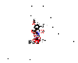 CCOc1cc(C(C)C)c2c(c1)S(=O)(=O)N(COP(=O)(OC(C)C)OC(C)C)C2=O